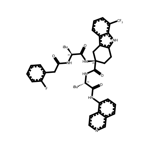 CCC(C)[C@H](NC(=O)Cc1ccccc1F)C(=O)N[C@]1(C(=O)N[C@H](C(=O)Nc2cccc3cnccc23)C(C)CC)CCc2[nH]c3c(C(F)(F)F)cccc3c2C1